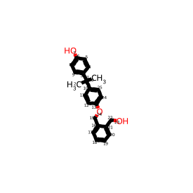 CC(C)(c1ccc(O)cc1)c1ccc(OCc2ccccc2CO)cc1